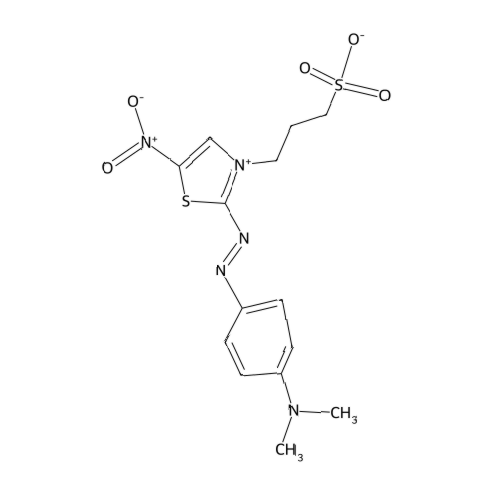 CN(C)c1ccc(/N=N/c2sc([N+](=O)[O-])c[n+]2CCCS(=O)(=O)[O-])cc1